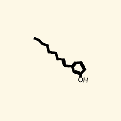 CCCCCCCC=Cc1cccc(O)c1